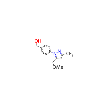 COCc1cc(C(F)(F)F)nn1-c1ccc(CO)cc1